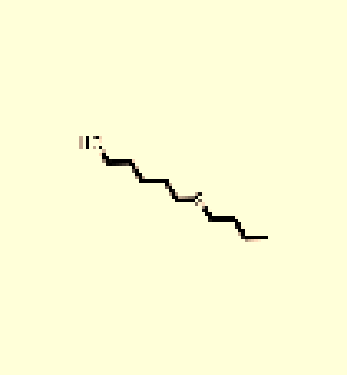 CCCCSCCCCCO